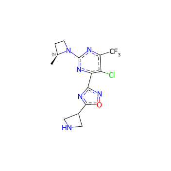 C[C@H]1CCN1c1nc(-c2noc(C3CNC3)n2)c(Cl)c(C(F)(F)F)n1